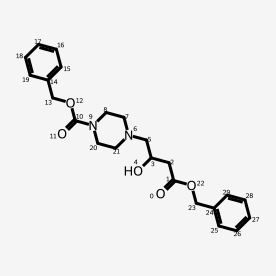 O=C(CC(O)CN1CCN(C(=O)OCc2ccccc2)CC1)OCc1ccccc1